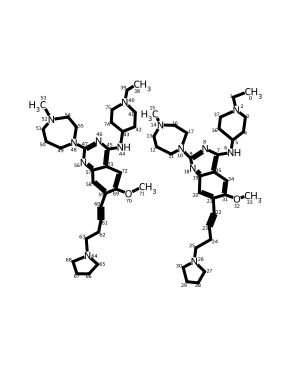 CCN1CCC(Nc2nc(N3CCCN(C)CC3)nc3cc(C#CCCN4CCCC4)c(OC)cc23)CC1.CCN1CCC(Nc2nc(N3CCCN(C)CC3)nc3cc(C#CCCN4CCCC4)c(OC)cc23)CC1